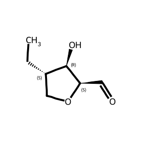 CC[C@H]1CO[C@H](C=O)[C@@H]1O